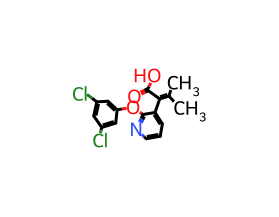 CC(C)=C(C(=O)O)c1cccnc1Oc1cc(Cl)cc(Cl)c1